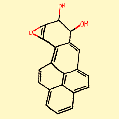 OC1C2=C(O2)c2c(cc3ccc4cccc5ccc2c3c45)C1O